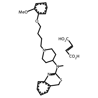 COc1ccccc1OCCCCN1CCC(N(C)C2=Nc3ccccc3CS2)CC1.O=C(O)C=CC(=O)O